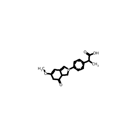 COC1=CC2=CN(c3ccc(C(C)C(=O)O)cc3)CC2C(=O)C1